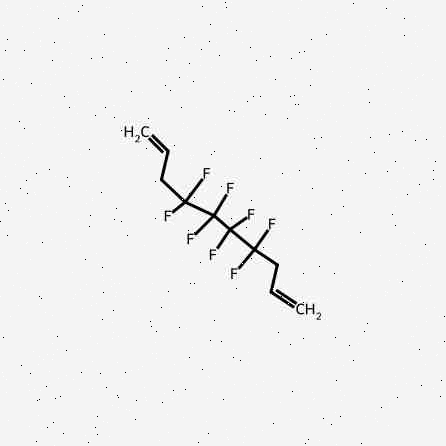 C=CCC(F)(F)C(F)(F)C(F)(F)C(F)(F)CC=C